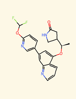 C[C@@H](Oc1cc(-c2ccc(OC(F)F)nc2)cc2ncccc12)C1CNC(=O)C1